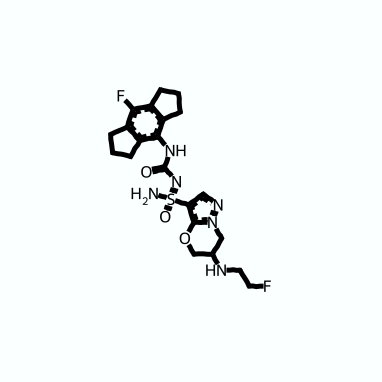 NS(=O)(=NC(=O)Nc1c2c(c(F)c3c1CCC3)CCC2)c1cnn2c1OCC(NCCF)C2